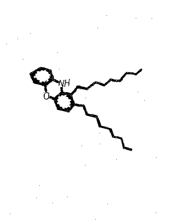 CCCCCCCCCc1ccc2c(c1CCCCCCCCC)Nc1ccccc1O2